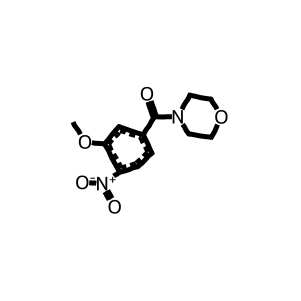 COc1cc(C(=O)N2CCOCC2)ccc1[N+](=O)[O-]